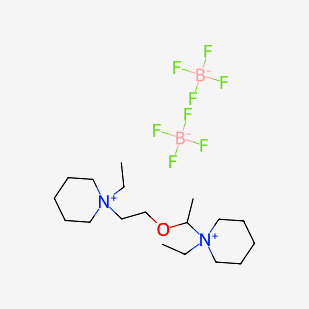 CC[N+]1(CCOC(C)[N+]2(CC)CCCCC2)CCCCC1.F[B-](F)(F)F.F[B-](F)(F)F